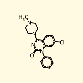 CN1CCN(c2nc(=O)n(-c3ccccc3)c3cc(Cl)ccc23)CC1